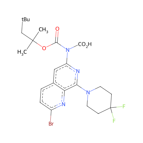 CC(C)(C)CC(C)(C)OC(=O)N(C(=O)O)c1cc2ccc(Br)nc2c(N2CCC(F)(F)CC2)n1